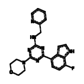 Fc1ccc(-c2nc(NCc3ccccn3)nc(N3CCOCC3)n2)c2cc[nH]c12